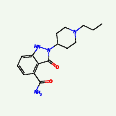 CCCN1CCC(n2[nH]c3cccc(C(N)=O)c3c2=O)CC1